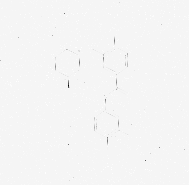 O=C(Nc1ccc(F)c(Cl)c1)c1ccc(F)c(S[C@H]2CCC[C@H](O)C2)c1